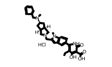 CCc1c(-c2ccc3c(c2)cc(CN2C[C@H]4C[C@@H](N(C)Cc5ccccc5)C[C@H]4C2)n3C)[nH]c(=O)c(C(=O)O)c1O.Cl